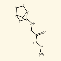 CCOC(=O)CNC1CC2CCC1C2